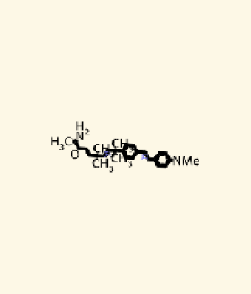 CNc1ccc(/C=C/c2ccc(C(C)(C)/C=C/C(C)(C)CCC(=O)C(C)N)cc2)cc1